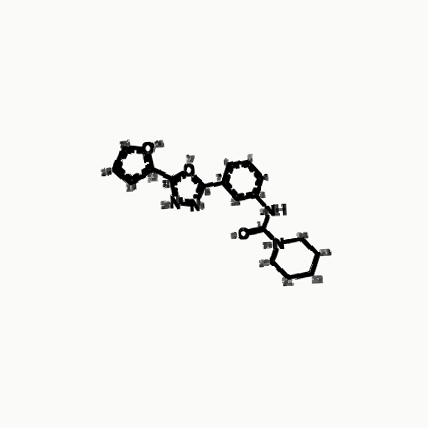 O=C(Nc1cccc(-c2nnc(-c3ccco3)o2)c1)N1CCCCC1